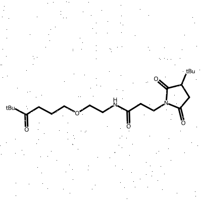 CC(C)(C)C(=O)CCCOCCNC(=O)CCN1C(=O)CC(C(C)(C)C)C1=O